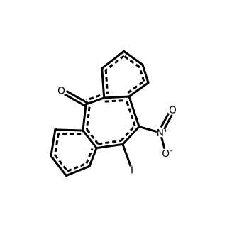 O=c1c2ccccc2c(I)c([N+](=O)[O-])c2ccccc12